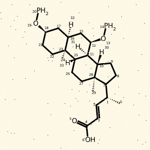 C[C@H](/C=C/C(=O)O)C1CC[C@H]2[C@@H]3[C@H](OP)C[C@@H]4C[C@H](OP)CC[C@]4(C)[C@H]3CC[C@]12C